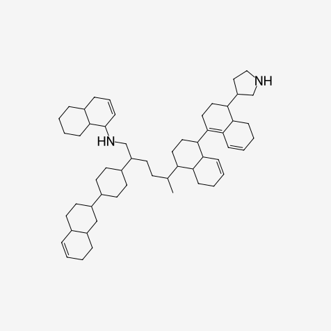 CC(CCC(CNC1C=CCC2CCCCC21)C1CCC(C2CCC3C=CCCC3C2)CC1)C1CCC(C2=C3C=CCCC3C(C3CCNC3)CC2)C2C=CCCC21